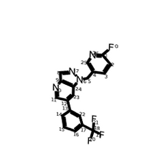 Fc1ccc(Cn2ncc3ncc(-c4cccc(C(F)(F)F)c4)cc32)cn1